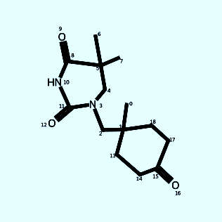 CC1(CN2CC(C)(C)C(=O)NC2=O)CCC(=O)CC1